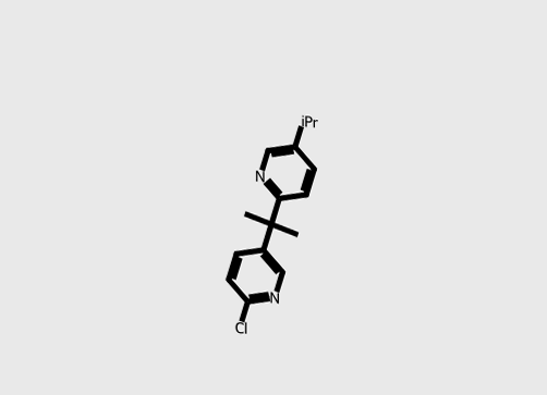 CC(C)c1ccc(C(C)(C)c2ccc(Cl)nc2)nc1